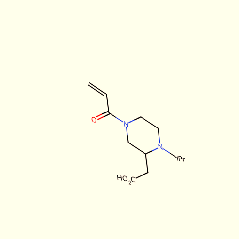 C=CC(=O)N1CCN(C(C)C)C(CC(=O)O)C1